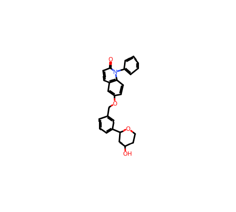 O=c1ccc2cc(OCc3cccc(C4CC(O)CCO4)c3)ccc2n1-c1ccccc1